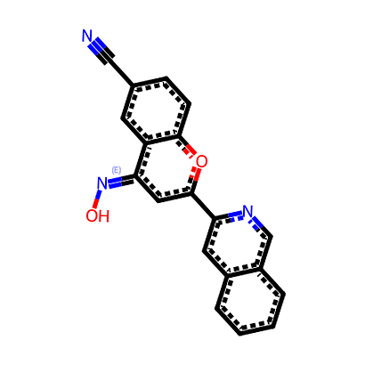 N#Cc1ccc2oc(-c3cc4ccccc4cn3)c/c(=N\O)c2c1